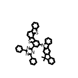 CC1(C)c2ccccc2-c2cc3c4ccccc4n(-c4cc(-c5nc(-c6ccccc6)nc(-c6ccccc6)n5)c5sc6ccc7c8ccccc8sc7c6c5c4)c3cc21